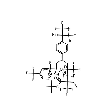 CCC(C(=O)OC(C)(C)C)(C(F)(F)F)C(F)(F)C(CC(CC(C)(C(=O)O)C(F)(F)F)c1ccc(C(O)(C(F)(F)F)C(F)(F)F)cc1)(OC(=O)c1ccc(C(F)(F)F)cc1)C(F)(F)F